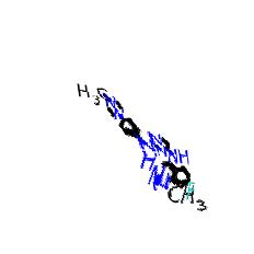 Cc1c(F)ccc2c(Nc3ccnc(Nc4ccc(N5CCN(C)CC5)cc4)n3)cnnc12